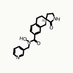 O=C(c1ccc2c(c1)C[C@]1(CCNC1=O)CC2)N(O)Cc1cccnc1